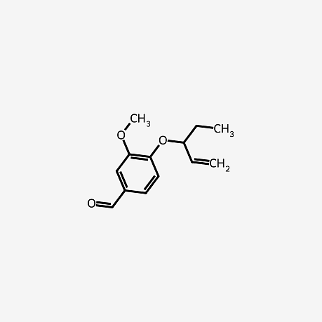 C=CC(CC)Oc1ccc(C=O)cc1OC